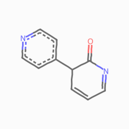 O=C1N=CC=CC1c1ccncc1